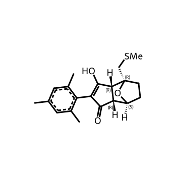 CSC[C@]12CC[C@H](O1)[C@@H]1C(=O)C(c3c(C)cc(C)cc3C)=C(O)[C@@H]12